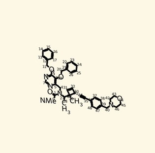 CNC(=O)N(Cc1ncnc(OCc2ccccc2)c1OCc1ccccc1)C(C)[C@]1(C)C=C[C@@H]1C#Cc1ccc(CN2CCOCC2)cc1